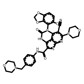 N#Cc1c(N2CCOCC2)nc2sc(C(=O)Nc3ccc(CN4CCOCC4)cc3)c3c2c1N(c1c(Cl)ccc2c1OCO2)C(=O)N3